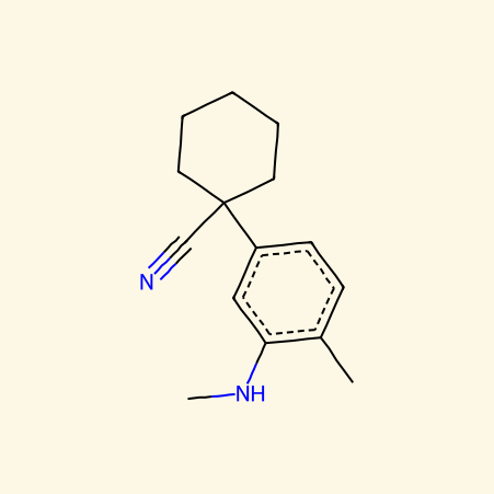 CNc1cc(C2(C#N)CCCCC2)ccc1C